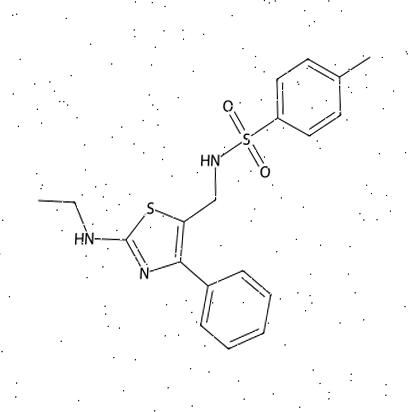 CCNc1nc(-c2ccccc2)c(CNS(=O)(=O)c2ccc(C)cc2)s1